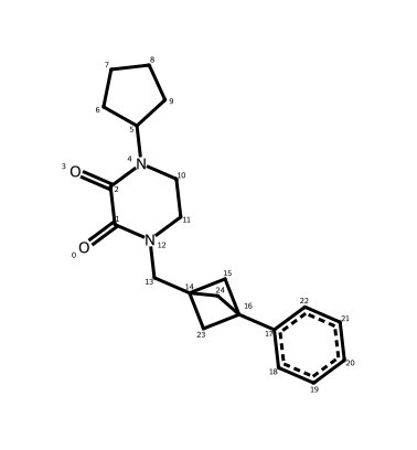 O=C1C(=O)N(C2CCCC2)CCN1CC12CC(c3ccccc3)(C1)C2